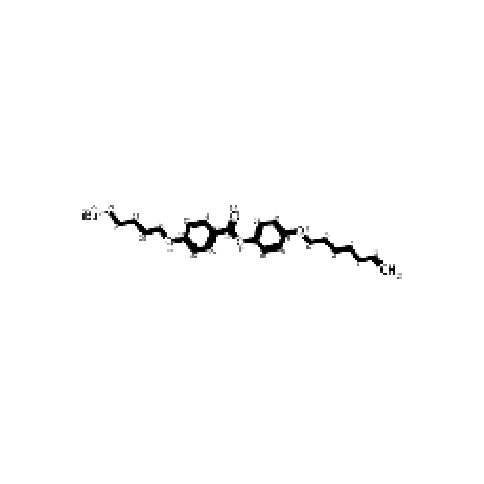 C=CCCCCCOc1ccc(OC(=O)c2ccc(OCCCCC[C@@H](C)CC)cc2)cc1